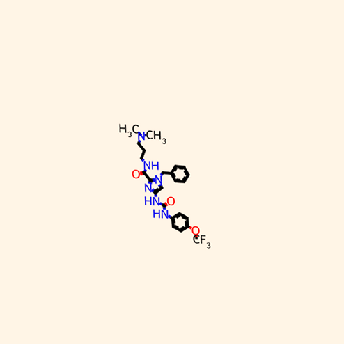 CN(C)CCCNC(=O)c1nc(NC(=O)Nc2ccc(OC(F)(F)F)cc2)cn1Cc1ccccc1